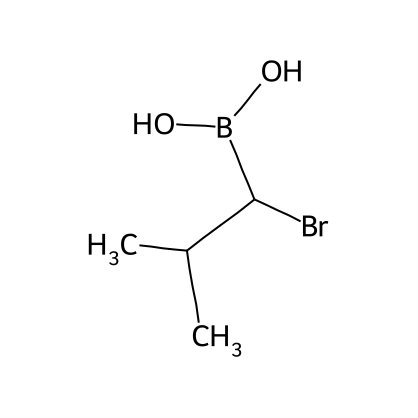 CC(C)C(Br)B(O)O